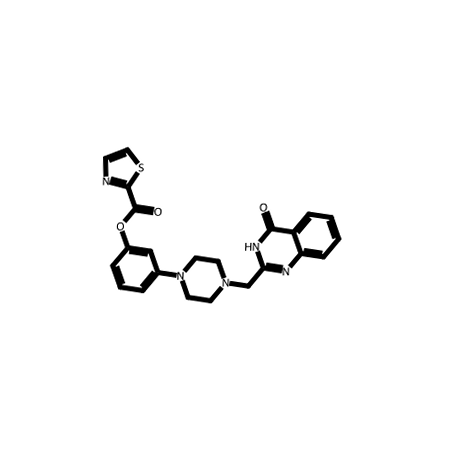 O=C(Oc1cccc(N2CCN(Cc3nc4ccccc4c(=O)[nH]3)CC2)c1)c1nccs1